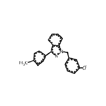 Cc1ccc(-c2nn(Cc3cccc(Cl)c3)c3ccccc23)cc1